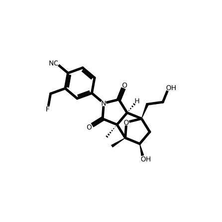 C[C@]12C(=O)N(c3ccc(C#N)c(CF)c3)C(=O)[C@H]1[C@]1(CCO)C[C@@H](O)[C@@]2(C)O1